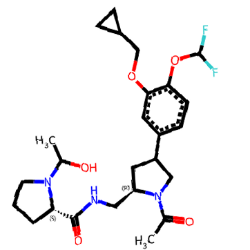 CC(=O)N1CC(c2ccc(OC(F)F)c(OCC3CC3)c2)C[C@@H]1CNC(=O)[C@@H]1CCCN1C(C)O